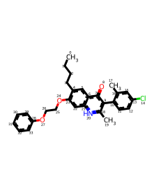 CCCCc1cc2c(=O)c(-c3ccc(Cl)cc3C)c(C)[nH]c2cc1OCCOc1ccccc1